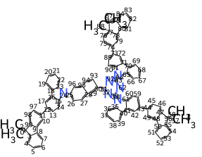 CC1(C)c2ccccc2-c2cc(-c3ccc4c(c3)c3ccccc3n4-c3ccc4cc(-c5nc(-n6c7ccccc7c7cc(-c8ccc9c(c8)-c8ccccc8C9(C)C)ccc76)nc(-n6c7ccccc7c7cc(-c8ccc9c(c8)-c8ccccc8C9(C)C)ccc76)n5)ccc4c3)ccc21